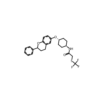 O=C(CSC(F)(F)F)N[C@H]1CC[C@H](Oc2ccc3c(c2)CCC(c2ccccc2)O3)CC1